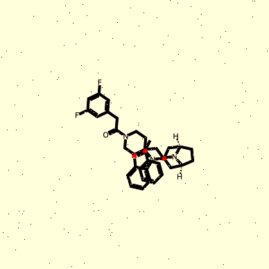 Cc1nc2ccccc2n1C1C[C@H]2CC[C@@H](C1)N2CCC1(c2ccccc2)CCN(C(=O)Cc2cc(F)cc(F)c2)CC1